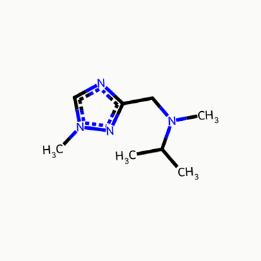 CC(C)N(C)Cc1ncn(C)n1